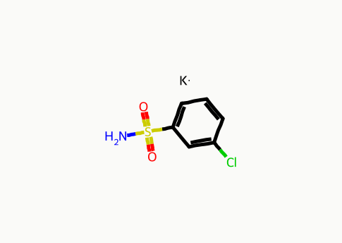 NS(=O)(=O)c1cccc(Cl)c1.[K]